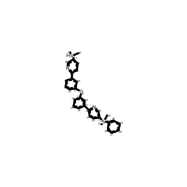 C[SiH](C)c1ccc(-c2cccc(Oc3cccc(-c4ccc([Si](C)(C)c5ccccc5)cn4)c3)c2)nc1